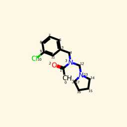 CC(=O)N(Cc1cccc(Cl)c1)CN1CCCC1